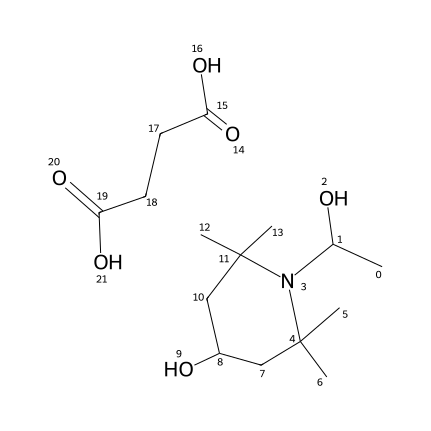 CC(O)N1C(C)(C)CC(O)CC1(C)C.O=C(O)CCC(=O)O